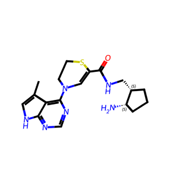 Cc1c[nH]c2ncnc(N3C=C(C(=O)NC[C@@H]4CCC[C@@H]4N)SCC3)c12